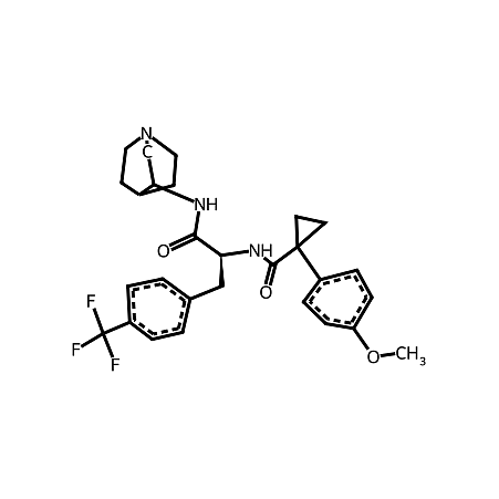 COc1ccc(C2(C(=O)N[C@@H](Cc3ccc(C(F)(F)F)cc3)C(=O)NC3CN4CCC3CC4)CC2)cc1